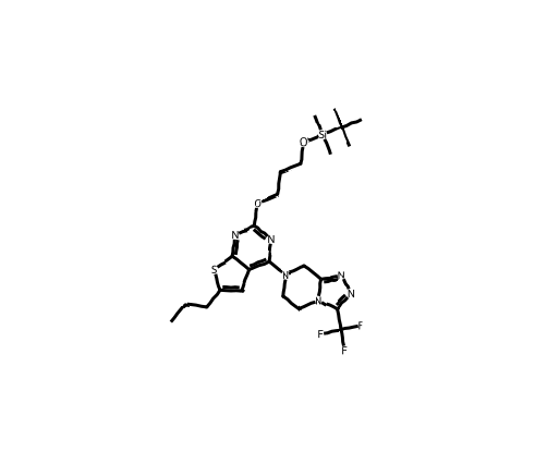 CCCc1cc2c(N3CCn4c(nnc4C(F)(F)F)C3)nc(OCCCO[Si](C)(C)C(C)(C)C)nc2s1